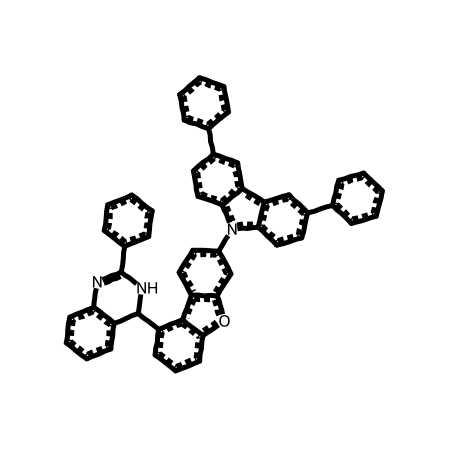 c1ccc(C2=Nc3ccccc3C(c3cccc4oc5cc(-n6c7ccc(-c8ccccc8)cc7c7cc(-c8ccccc8)ccc76)ccc5c34)N2)cc1